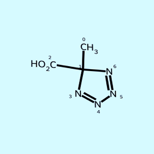 CC1(C(=O)O)N=NN=N1